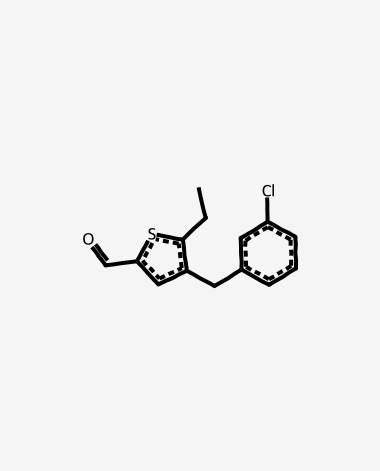 CCc1sc(C=O)cc1Cc1cccc(Cl)c1